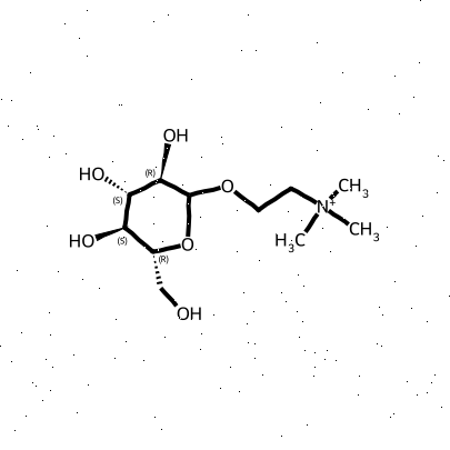 C[N+](C)(C)CCOC1O[C@H](CO)[C@@H](O)[C@H](O)[C@H]1O